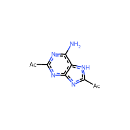 CC(=O)c1nc(N)c2[nH]c(C(C)=O)nc2n1